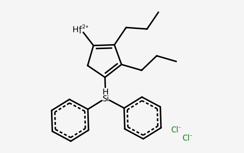 CCCC1=[C]([Hf+2])CC([SiH](c2ccccc2)c2ccccc2)=C1CCC.[Cl-].[Cl-]